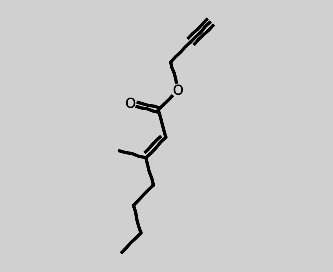 C#CCOC(=O)/C=C(\C)CCCC